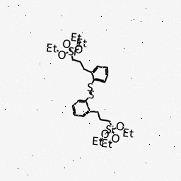 CCO[Si](CCCc1ccccc1SSc1ccccc1CCC[Si](OCC)(OCC)OCC)(OCC)OCC